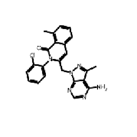 Cc1nn(Cc2cc3cccc(C)c3c(=O)n2-c2ccccc2Cl)c2ncnc(N)c12